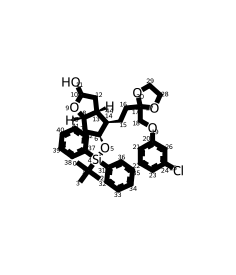 CC(C)(C)[Si](O[C@@H]1C[C@@H]2OC(O)C[C@@H]2[C@H]1CCC1(COc2cccc(Cl)c2)OCCO1)(c1ccccc1)c1ccccc1